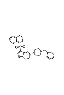 O=S(=O)(C1=CN=C2CCN(N3CCN(Cc4ccccc4)CC3)C=C12)c1cccc2ccccc12